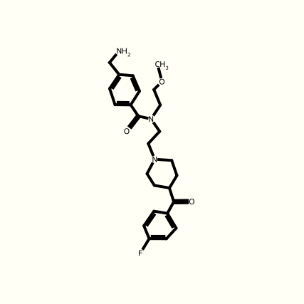 COCCN(CCN1CCC(C(=O)c2ccc(F)cc2)CC1)C(=O)c1ccc(CN)cc1